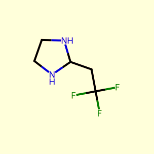 FC(F)(F)CC1NCCN1